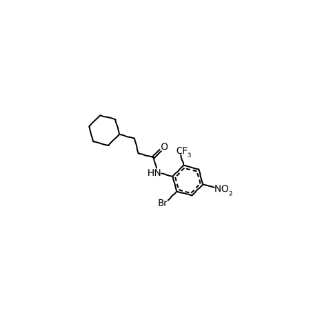 O=C(CCC1CCCCC1)Nc1c(Br)cc([N+](=O)[O-])cc1C(F)(F)F